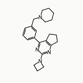 c1cc(CN2CCCCC2)cc(-c2nc(N3CCC3)nc3c2CCC3)c1